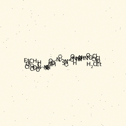 C=C(CC)C(=O)c1ccc(OCC(=O)NCCCn2cc(CNC(=O)OCCCN3C=CC(=Cc4sc5ccccc5[n+]4CCCOC(=O)NCc4cn(CCCNC(=O)COc5ccc(C(=O)C(=C)CC)c(Cl)c5Cl)nn4)c4ccccc43)nn2)c(Cl)c1Cl